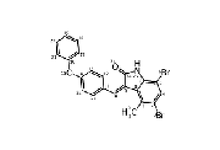 Cc1c(Br)cc(Br)c2c1C(=Cc1ccc(Oc3ccccc3)cc1)C(=O)N2